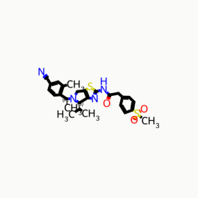 Cc1cc(C#N)ccc1[C@@H](C)N1Cc2sc(NC(=O)Cc3ccc(S(C)(=O)=O)cc3)nc2[C@@H]1C(C)C